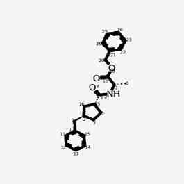 C[C@H](NC(=O)[C@@H]1CC[C@@H](Cc2ccccc2)C1)C(=O)OCc1ccccc1